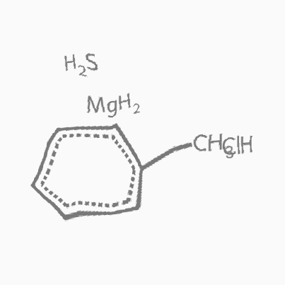 Cc1ccccc1.Cl.S.[MgH2]